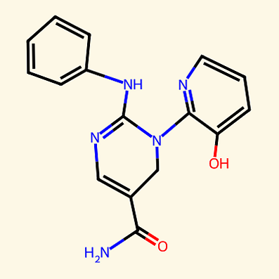 NC(=O)C1=CN=C(Nc2ccccc2)N(c2ncccc2O)C1